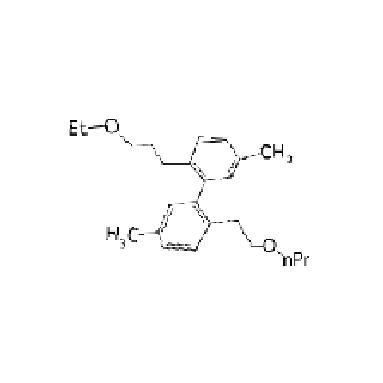 CCCOCCc1ccc(C)cc1-c1cc(C)ccc1CCCOCC